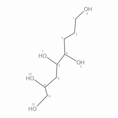 OCCCC(O)C(O)CC(O)CO